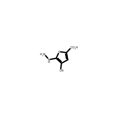 N#Cc1cc(C(=O)O)sc1NN